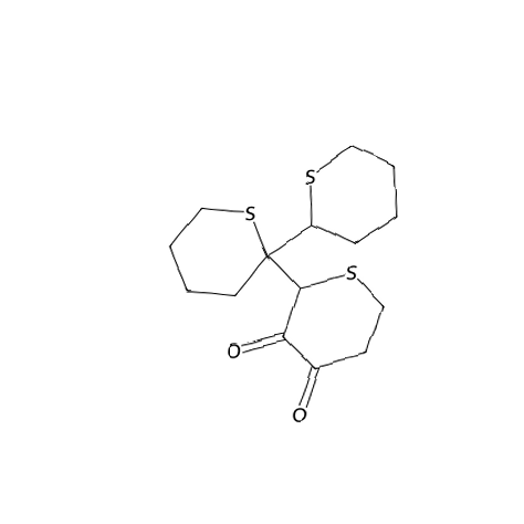 O=C1CCSC(C2(C3CCCCS3)CCCCS2)C1=O